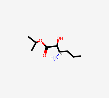 CCC[C@H](N)C(O)C(=O)OC(C)C